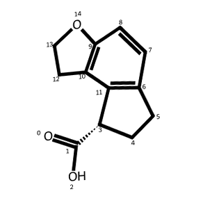 O=C(O)[C@H]1CCc2ccc3c(c21)CCO3